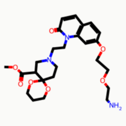 COC(=O)C1CN(CCn2c(=O)ccc3ccc(OCCOCCN)cc32)CCC12OCCCO2